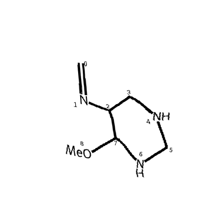 C=NC1CNCNC1OC